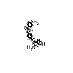 Nc1nc(OCc2ccc(CNC(=O)[C@H]3CC[C@H](N)CC3)cc2)c2nc[nH]c2n1